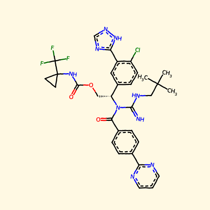 CC(C)(C)CNC(=N)N(C(=O)c1ccc(-c2ncccn2)cc1)[C@H](COC(=O)NC1(C(F)(F)F)CC1)c1ccc(Cl)c(-c2ncn[nH]2)c1